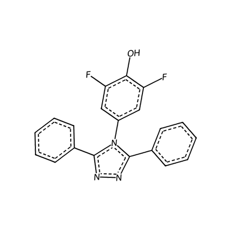 Oc1c(F)cc(-n2c(-c3ccccc3)nnc2-c2ccccc2)cc1F